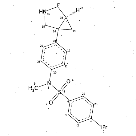 CC(C)c1ccc(S(=O)(=O)N(C)c2ccc(C34CNC[C@H]3C4)cc2)cc1